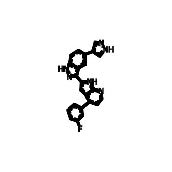 Fc1cccc(-c2ccnc3[nH]c(-c4n[nH]c5ccc(-c6cn[nH]c6)cc45)cc23)c1